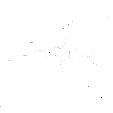 COOSC(C(N)=O)=C1Sc2c(OC(C)=O)c3c(c(OC(C)=O)c2S1)SC(=C(C(N)=O)S(C)(=O)=O)S3